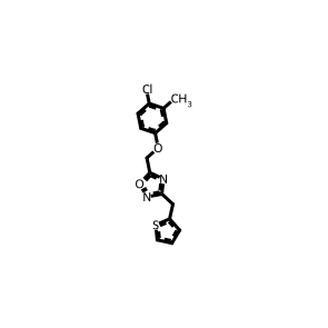 Cc1cc(OCc2nc(Cc3cccs3)no2)ccc1Cl